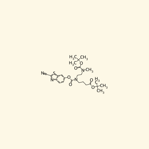 CN(CCN(CCCC(=O)OC(C)(C)C)C(=O)Oc1ccc2nc(C#N)sc2c1)C(=O)OC(C)(C)C